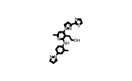 Cc1cc(-n2ccc(-c3nccs3)n2)c(CCO)c(Nc2ccc(-n3cccn3)cc2C)n1